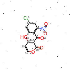 O=C(c1ccc(Cl)cc1[N+](=O)[O-])c1c(O)ccoc1=O